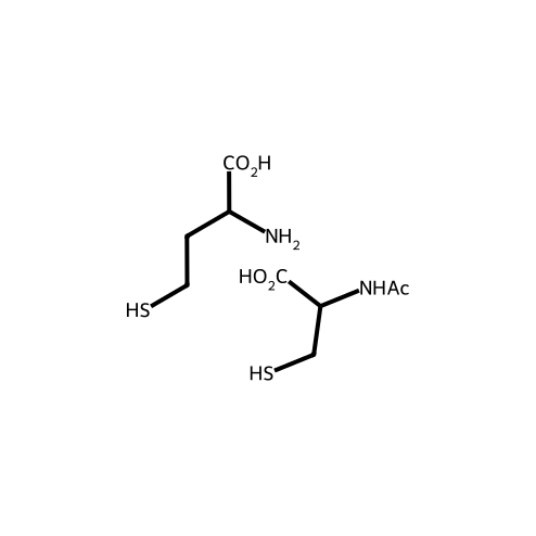 CC(=O)NC(CS)C(=O)O.NC(CCS)C(=O)O